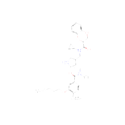 COCCCOc1cc(C(=O)N(C[C@@H]2CNCC2CN(C(=O)C2COc3ccccc3O2)C2CC2)C(C)C)ccc1OC